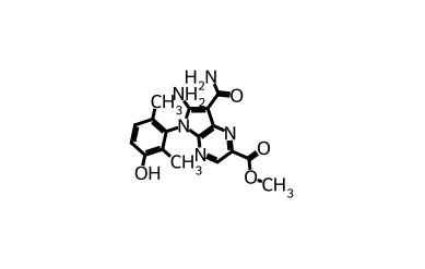 COC(=O)c1cnc2c(n1)c(C(N)=O)c(N)n2-c1c(C)ccc(O)c1C